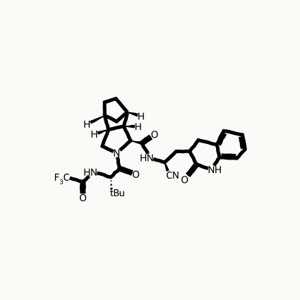 CC(C)(C)[C@H](NC(=O)C(F)(F)F)C(=O)N1C[C@@H]2[C@@H]3CC[C@@H](C3)[C@@H]2[C@H]1C(=O)N[C@H](C#N)CC1Cc2ccccc2NC1=O